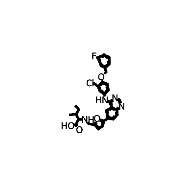 CCC(C)C(NCc1ccc(-c2ccc3ncnc(Nc4ccc(OCc5cccc(F)c5)c(Cl)c4)c3c2)o1)C(=O)O